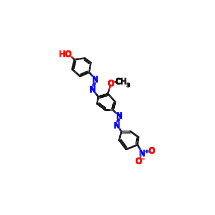 COc1cc(N=Nc2ccc([N+](=O)[O-])cc2)ccc1N=Nc1ccc(O)cc1